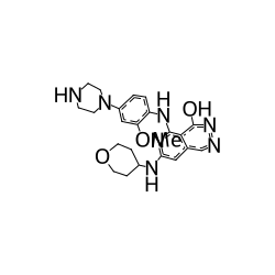 COc1cc(N2CCNCC2)ccc1Nc1nc(NC2CCOCC2)cc2cnnc(O)c12